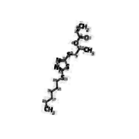 C=CC(=O)OC(C)CSc1nnc(SCCCCCC)s1